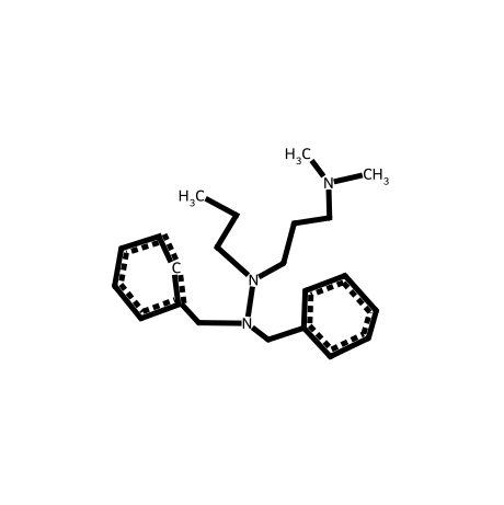 CCCN(CCCN(C)C)N(Cc1ccccc1)Cc1ccccc1